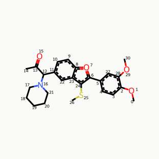 COc1ccc(-c2oc3ccc(C(C(C)=O)N4CCCCC4)cc3c2SC)cc1OC